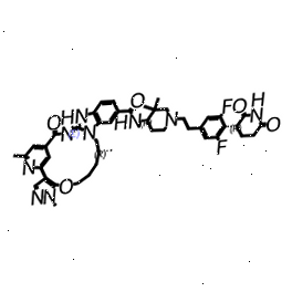 Cc1cc2cc(n1)-c1cnn(C)c1OCCC[C@@H](C)CN1/C(=N/C2=O)Nc2ccc(C(=O)N[C@@H]3CCN(CCc4cc(F)c([C@H]5CCC(=O)NC5=O)c(F)c4)CC3(C)C)cc21